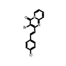 O=c1c(Br)c(C=Cc2ccc(Cl)cc2)nc2ccccn12